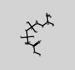 CCC(=O)NC(C)(C)CC(C)(C)OCN(C)N